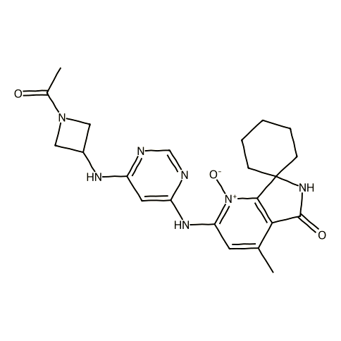 CC(=O)N1CC(Nc2cc(Nc3cc(C)c4c([n+]3[O-])C3(CCCCC3)NC4=O)ncn2)C1